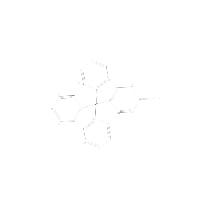 IC1C=C2C(=CC1)C1(c3ccccc32)c2ccccc2-c2ccccc21